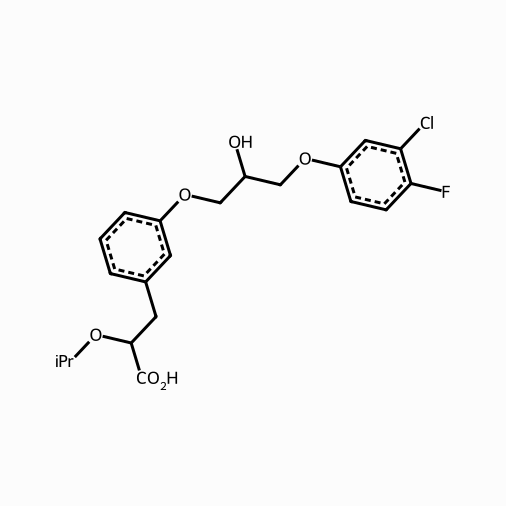 CC(C)OC(Cc1cccc(OCC(O)COc2ccc(F)c(Cl)c2)c1)C(=O)O